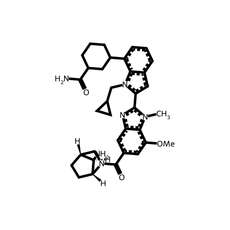 COc1cc(C(=O)N2C[C@H]3CC[C@@H]2[C@@H]3N)cc2nc(-c3cc4cccc(C5CCCC(C(N)=O)C5)c4n3CC3CC3)n(C)c12